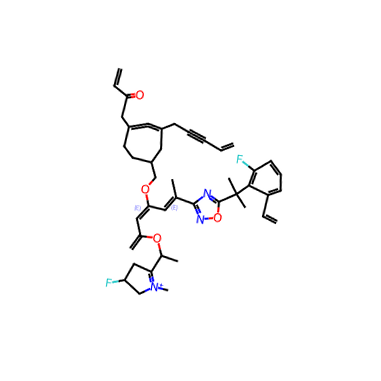 C=CC#CCC1=C=C(CC(=O)C=C)CCC(COC(=C/C(=C)OC(C)C2=[N+](C)CC(F)C2)/C=C(\C)c2noc(C(C)(C)c3c(F)cccc3C=C)n2)C1